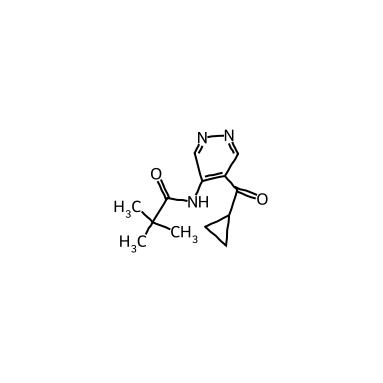 CC(C)(C)C(=O)Nc1cnncc1C(=O)C1CC1